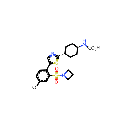 N#Cc1ccc(-c2cnc([C@H]3CC[C@H](NC(=O)O)CC3)s2)c(S(=O)(=O)N2CCC2)c1